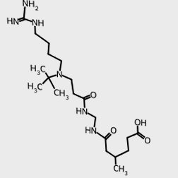 CC(CCC(=O)O)CC(=O)NCNC(=O)CCN(CCCCNC(=N)N)C(C)(C)C